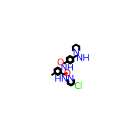 Cc1ccc(NC(=O)c2ccc(C(=N)N3CCCCC3)cc2)c(C(=O)Nc2ccc(Cl)cn2)c1